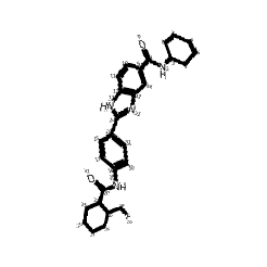 O=C(NC1CCCCC1)c1ccc2[nH]c(-c3ccc(NC(=O)C4CCCCC4CF)cc3)nc2c1